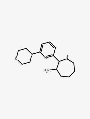 NC1CCCCNC1c1cccc(N2CCOCC2)n1